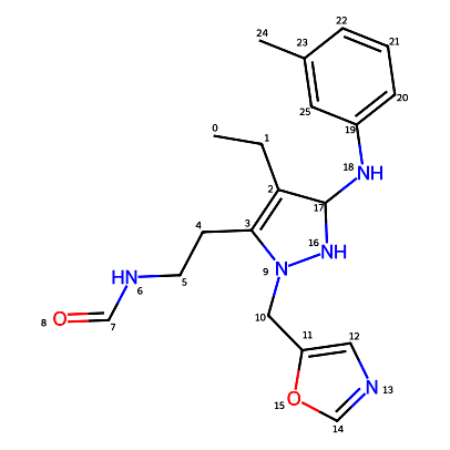 CCC1=C(CCNC=O)N(Cc2cnco2)NC1Nc1cccc(C)c1